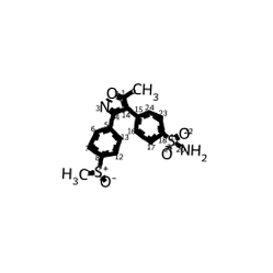 Cc1onc(-c2ccc([S+](C)[O-])cc2)c1-c1ccc(S(N)(=O)=O)cc1